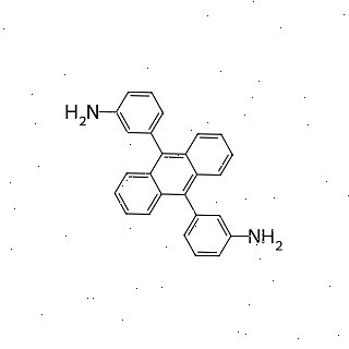 Nc1cccc(-c2c3ccccc3c(-c3cccc(N)c3)c3ccccc23)c1